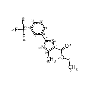 CCOC(=O)c1sc(-c2cccc(C(F)(F)F)c2)nc1C